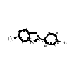 Cc1ccc2c(c1)N=C(c1ccc(I)cc1)C2